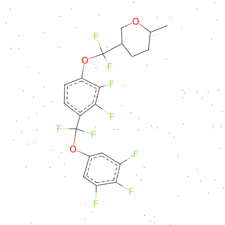 CC1CCC(C(F)(F)Oc2ccc(C(F)(F)Oc3cc(F)c(F)c(F)c3)c(F)c2F)CO1